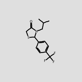 CC(C)CN1C(=O)CSC1c1ccc(C(F)(F)F)cc1